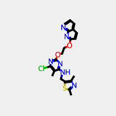 Cc1nc(C)c(CNc2nc(OCCOc3ccc4cccnc4n3)nc(Cl)c2C)s1